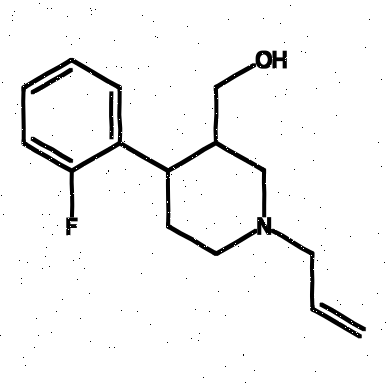 C=CCN1CCC(c2ccccc2F)C(CO)C1